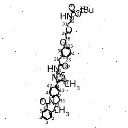 Cc1ccccc1C(=O)N1CCc2cc(-c3nc(NC(=O)Cc4cccc(OCCOCCNC(=O)OC(C)(C)C)c4)sc3C)ccc21